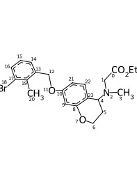 CCOC(=O)CN(C)C1CCOc2cc(OCc3cccc(Br)c3C)ccc21